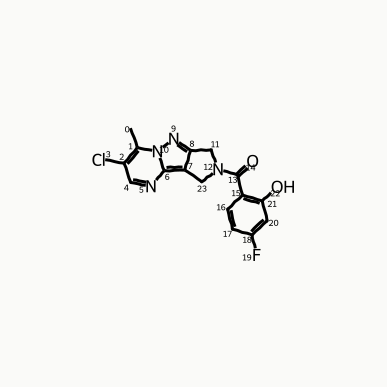 Cc1c(Cl)cnc2c3c(nn12)CN(C(=O)c1ccc(F)cc1O)C3